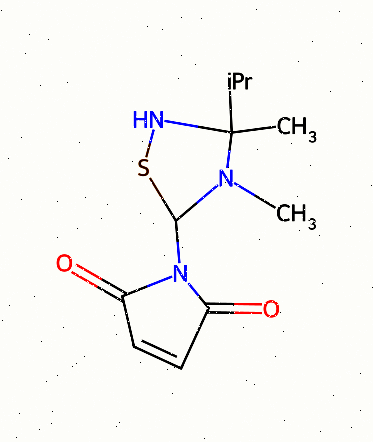 CC(C)C1(C)NSC(N2C(=O)C=CC2=O)N1C